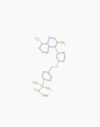 COC(=O)C(C)(C)c1ccc(COc2cccc(-c3c(C)cnc4c(C(F)(F)F)cccc34)c2)cc1